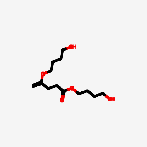 C=C(CCC(=O)OCCCCO)OCCCCO